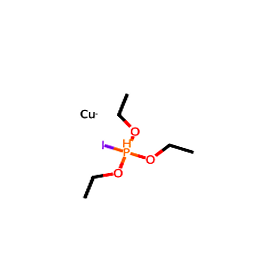 CCO[PH](I)(OCC)OCC.[Cu]